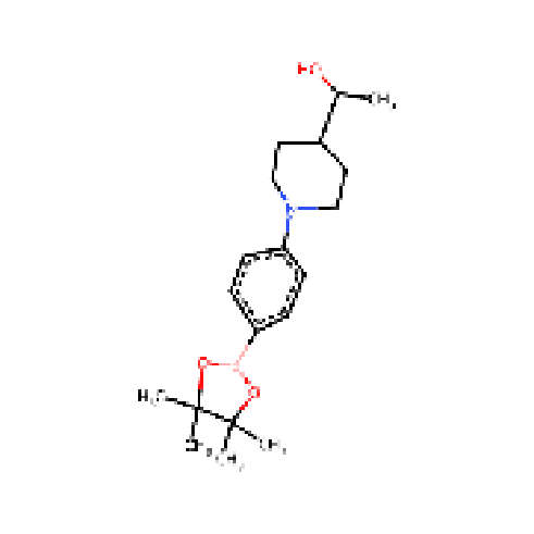 CC(O)C1CCN(c2ccc(B3OC(C)(C)C(C)(C)O3)cc2)CC1